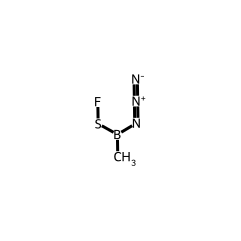 CB(N=[N+]=[N-])SF